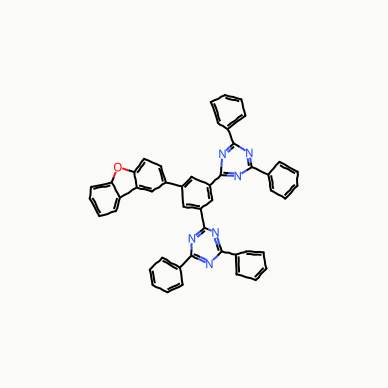 c1ccc(-c2nc(-c3ccccc3)nc(-c3cc(-c4ccc5oc6ccccc6c5c4)cc(-c4nc(-c5ccccc5)nc(-c5ccccc5)n4)c3)n2)cc1